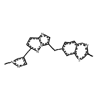 Cc1nc2ccc(Cc3cnc4ccc(-c5cnn(C)c5)nn34)cc2s1